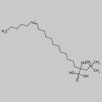 CCCCC/C=C\CCCCCCCCCCCC(O)(C[N+](C)(C)C)P(=O)(O)O